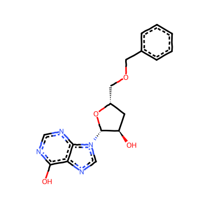 Oc1ncnc2c1ncn2[C@@H]1O[C@H](COCc2ccccc2)C[C@H]1O